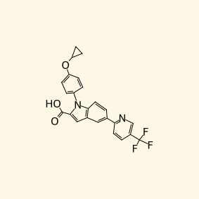 O=C(O)c1cc2cc(-c3ccc(C(F)(F)F)cn3)ccc2n1-c1ccc(OC2CC2)cc1